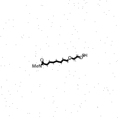 CNC(=O)CCCCCCCOCCOS